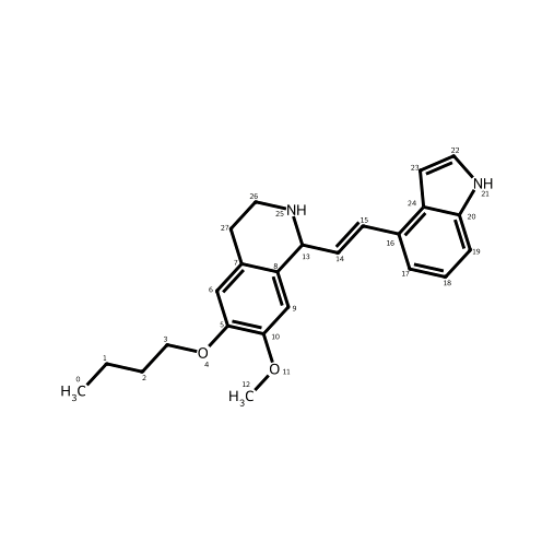 CCCCOc1cc2c(cc1OC)C(/C=C/c1cccc3[nH]ccc13)NCC2